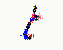 Cc1ncsc1-c1ccc(CNC(=O)[C@@H]2C[C@@H](O)CN2C(=O)C(c2cc(OC[C@H]3CC[C@H](N4CCC(c5cnc(N6CCc7[nH]c8nnc(-c9ccccc9O)cc8c7[C@@H]6C)nc5)CC4)CC3)no2)C(C)C)cc1